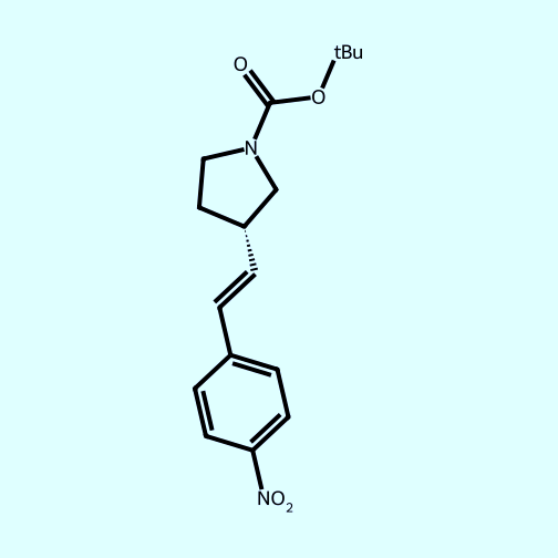 CC(C)(C)OC(=O)N1CC[C@@H](/C=C/c2ccc([N+](=O)[O-])cc2)C1